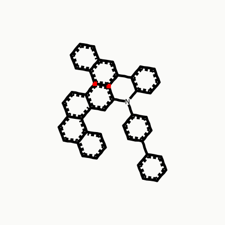 c1ccc(-c2ccc(N(c3ccc4ccc5ccc6ccccc6c5c4c3)c3ccccc3-c3ccc4ccccc4c3)cc2)cc1